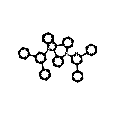 c1ccc(-c2cc(-c3ccccc3)cc(-n3c4c(c5ccccc53)-c3ccccc3N(c3cc(-c5ccccc5)cc(-c5ccccc5)n3)c3ccccc3-4)c2)cc1